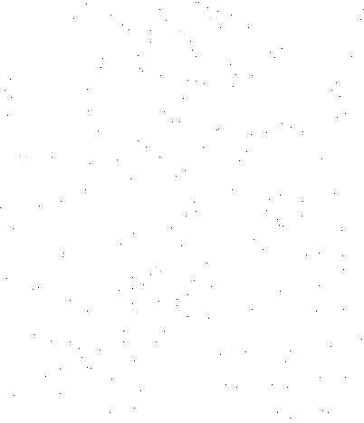 COCCOc1cc2ncnc(Nc3ccc(OCc4cccc(F)c4)c(Cl)c3)c2cc1OCCCCCCC(=O)NO